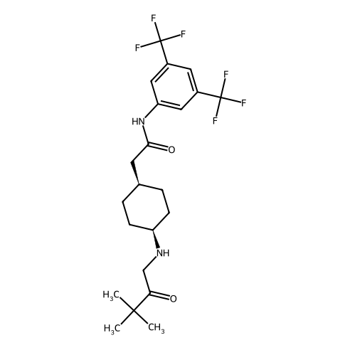 CC(C)(C)C(=O)CN[C@H]1CC[C@@H](CC(=O)Nc2cc(C(F)(F)F)cc(C(F)(F)F)c2)CC1